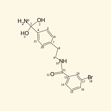 NC(O)(O)c1ccc(CCNC(=O)c2cccc(Br)c2)cc1